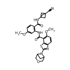 COc1ccc(C(=O)NC23CC(C#N)(C2)C3)c(NC(=O)c2c(OC)ccc3nc(N4C5COCC4C5)sc23)c1